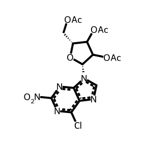 CC(=O)OC[C@H]1O[C@@H](n2cnc3c(Cl)nc([N+](=O)[O-])nc32)C(OC(C)=O)C1OC(C)=O